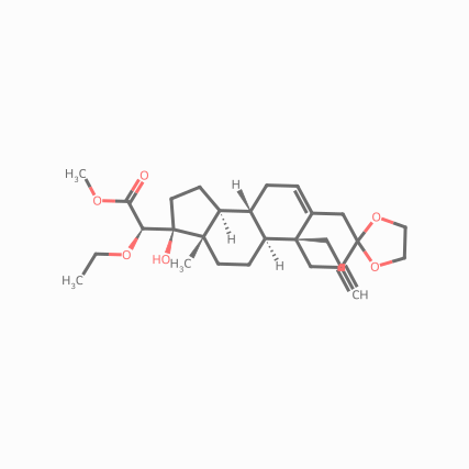 C#CC[C@]12CCC3(CC1=CC[C@@H]1[C@@H]2CC[C@@]2(C)[C@H]1CC[C@@]2(O)[C@@H](OCC)C(=O)OC)OCCO3